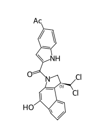 CC(=O)c1ccc2[nH]c(C(=O)N3C[C@@H](C(Cl)Cl)c4c3cc(O)c3ccccc43)cc2c1